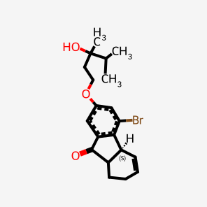 CC(C)C(C)(O)CCOc1cc(Br)c2c(c1)C(=O)C1CCC=C[C@H]21